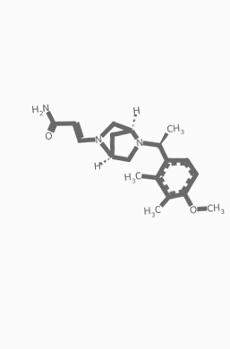 COc1ccc([C@H](C)N2C[C@@H]3C[C@H]2CN3C=CC(N)=O)c(C)c1C